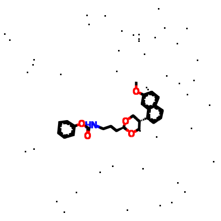 COc1ccc2cccc([C@H]3CO[C@H](CCCNC(=O)Oc4ccccc4)OC3)c2c1